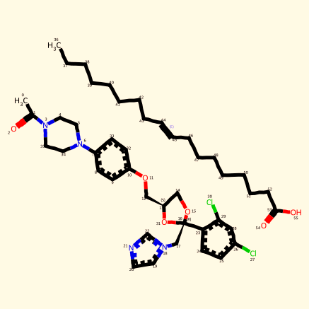 CC(=O)N1CCN(c2ccc(OC[C@H]3CO[C@](Cn4ccnc4)(c4ccc(Cl)cc4Cl)O3)cc2)CC1.CCCCCCCC/C=C/CCCCCCCC(=O)O